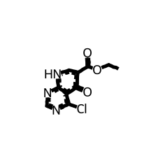 CCOC(=O)c1c[nH]c2ncnc(Cl)c2c1=O